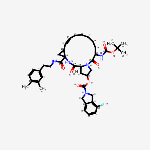 Cc1ccc(CCNC(=O)C23CC2/C=C\CCCCCC(NC(=O)OC(C)(C)C)C(=O)N2CC(OC(=O)N4Cc5cccc(F)c5C4)C[C@H]2C(=O)N3)cc1C